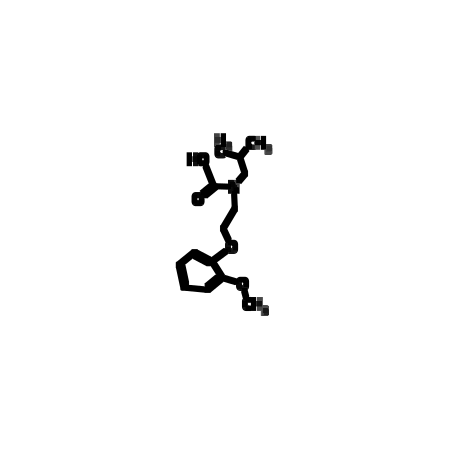 COc1ccccc1OCCN(CC(C)C)C(=O)O